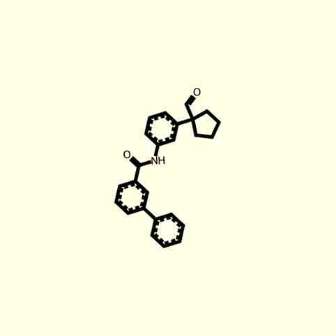 O=CC1(c2cccc(NC(=O)c3cccc(-c4ccccc4)c3)c2)CCCC1